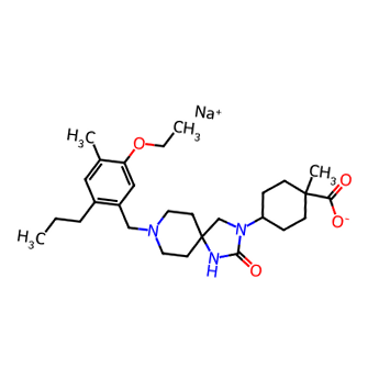 CCCc1cc(C)c(OCC)cc1CN1CCC2(CC1)CN(C1CCC(C)(C(=O)[O-])CC1)C(=O)N2.[Na+]